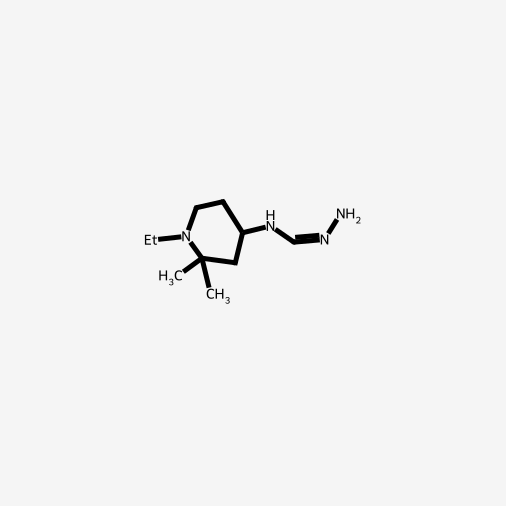 CCN1CCC(N/C=N\N)CC1(C)C